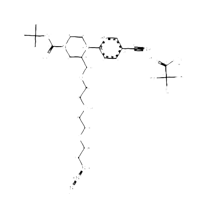 CC(C)(C)OC(=O)N1CCN(c2ccc(C#N)cn2)C(COCCOCCOCCN=[N+]=[N-])C1.O=C(O)C(F)(F)F